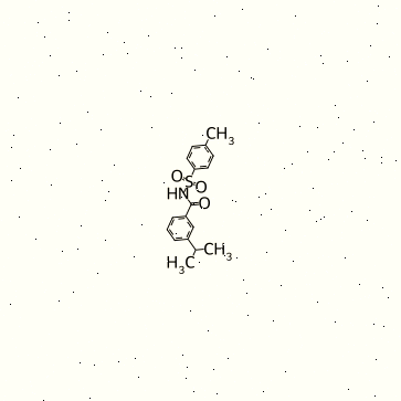 Cc1ccc(S(=O)(=O)NC(=O)c2cccc(C(C)C)c2)cc1